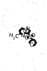 Cc1ccn2ncc(S(=O)(=O)c3ccccc3)c2n1